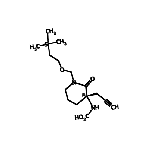 C#CC[C@@]1(NC(=O)O)CCCN(COCC[Si](C)(C)C)C1=O